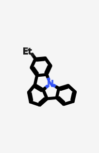 CCc1ccc2c(c1)c1cccc3c4ccccc4n2c31